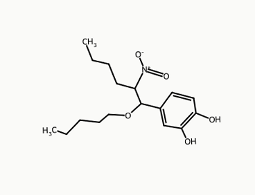 CCCCCOC(c1ccc(O)c(O)c1)C(CCCC)[N+](=O)[O-]